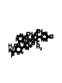 COc1ncnc(OC)c1-n1c(NS(=O)(=O)[C@@H](C)[C@H](OC)c2ncc(Cl)cn2)nnc1C1CCC(C(F)F)CC1